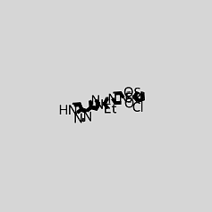 CCC(CN1CCN(S(=O)(=O)c2sccc2Cl)CC1)n1cc(-c2ncnc3[nH]ccc23)cn1